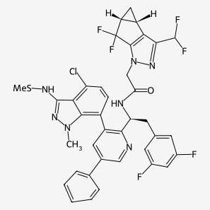 CSNc1nn(C)c2c(-c3cc(-c4ccccc4)cnc3[C@H](Cc3cc(F)cc(F)c3)NC(=O)Cn3nc(C(F)F)c4c3C(F)(F)[C@@H]3C[C@H]43)ccc(Cl)c12